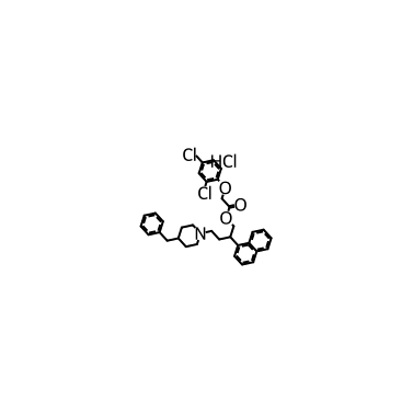 Cl.O=C(COc1ccc(Cl)cc1Cl)OCC(CCN1CCC(Cc2ccccc2)CC1)c1cccc2ccccc12